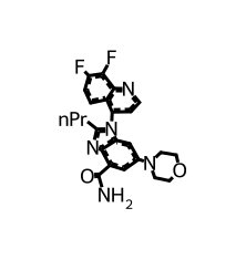 CCCc1nc2c(C(N)=O)cc(N3CCOCC3)cc2n1-c1ccnc2c(F)c(F)ccc12